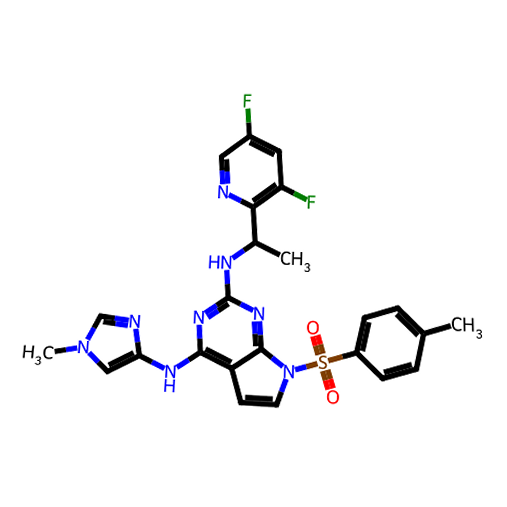 Cc1ccc(S(=O)(=O)n2ccc3c(Nc4cn(C)cn4)nc(NC(C)c4ncc(F)cc4F)nc32)cc1